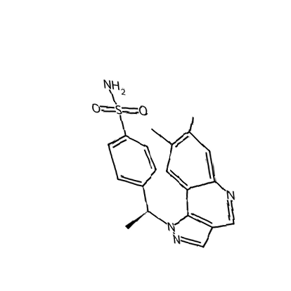 Cc1cc2ncc3cnn([C@@H](C)c4ccc(S(N)(=O)=O)cc4)c3c2cc1C